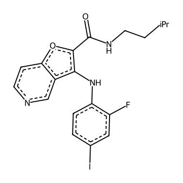 CC(C)CCNC(=O)c1oc2ccncc2c1Nc1ccc(I)cc1F